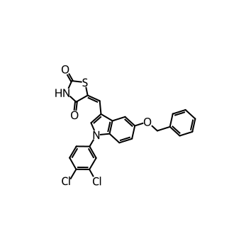 O=C1NC(=O)/C(=C\c2cn(-c3ccc(Cl)c(Cl)c3)c3ccc(OCc4ccccc4)cc23)S1